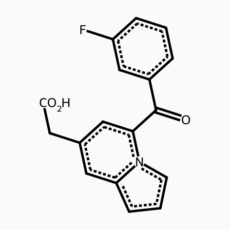 O=C(O)Cc1cc(C(=O)c2cccc(F)c2)n2cccc2c1